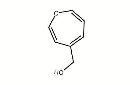 OCC1=CC=COC=C1